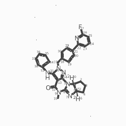 [2H][C@@]12CCC[C@]1([2H])N=C1N(C)C(=O)c3c(nn(Cc4ccc(-c5cccc(F)n5)cc4)c3Nc3ccccc3)N12